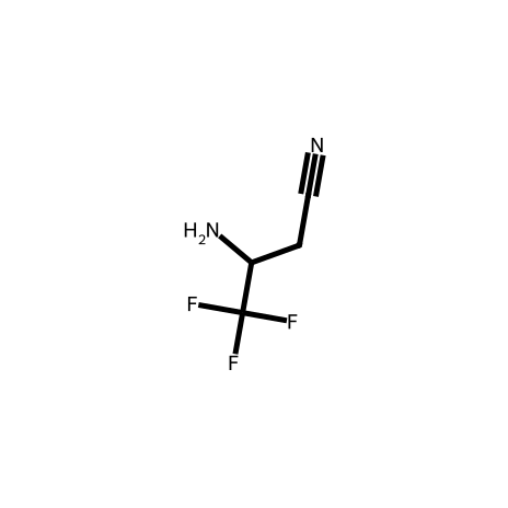 N#CCC(N)C(F)(F)F